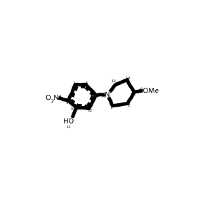 COC1CCN(c2ccc([N+](=O)[O-])c(O)c2)CC1